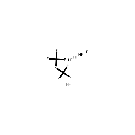 F.F.F.F.F.FC(F)(F)SC(F)(F)F